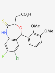 COc1cccc(C2OC(CC(=O)O)C(=S)Nc3cc(F)c(Cl)cc32)c1OC